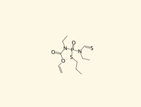 C=COC(=O)N(CC)P(=O)(SCCC)N(C=S)CC